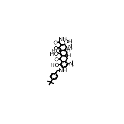 CN(C)c1cc(NCc2ccc(C(C)(C)C)cc2)c(O)c2c1C[C@@H]1C[C@@H]3[C@@H](N(C)C)C(O)=C(C(N)=O)C(=O)[C@]3(O)C(O)=C1C2=O